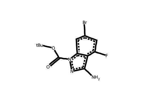 CC(C)(C)OC(=O)n1nc(N)c2c(F)cc(Br)cc21